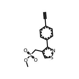 C#Cc1ccc(-c2nscc2CS(=O)(=O)OC)cc1